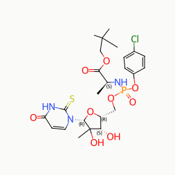 C[C@H](NP(=O)(OC[C@H]1O[C@@H](n2ccc(=O)[nH]c2=S)C(C)(O)[C@H]1O)Oc1ccc(Cl)cc1)C(=O)OCC(C)(C)C